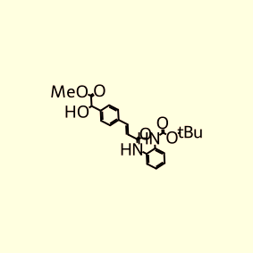 COC(=O)C(O)c1ccc(C=CC(=O)Nc2ccccc2NC(=O)OC(C)(C)C)cc1